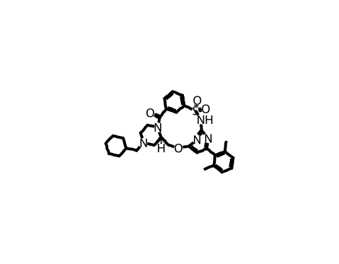 Cc1cccc(C)c1-c1cc2nc(n1)NS(=O)(=O)c1cccc(c1)C(=O)N1CCN(CC3CCCCC3)C[C@@H]1CO2